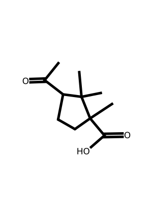 CC(=O)C1CCC(C)(C(=O)O)C1(C)C